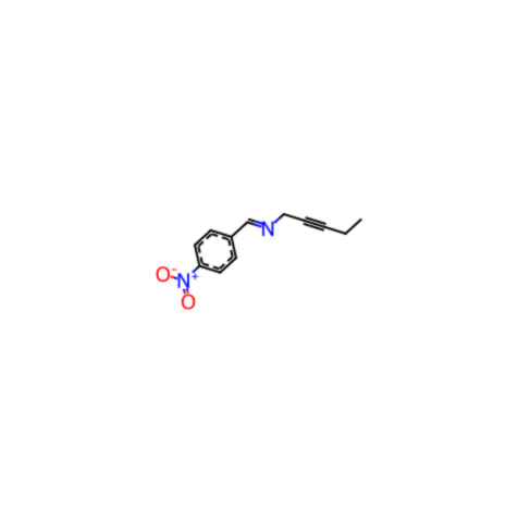 CCC#CCN=Cc1ccc([N+](=O)[O-])cc1